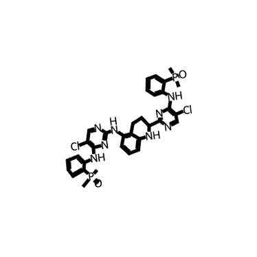 CP(C)(=O)c1ccccc1Nc1nc(Nc2cccc3c2CCC(c2ncc(Cl)c(Nc4ccccc4P(C)(C)=O)n2)N3)ncc1Cl